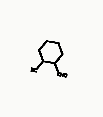 N#CC1CCCCC1C=O